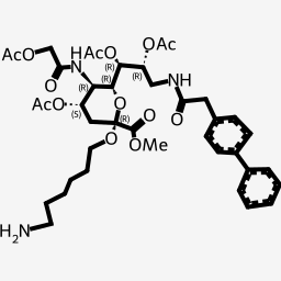 COC(=O)[C@@]1(OCCCCCCN)C[C@H](OC(C)=O)[C@@H](NC(=O)COC(C)=O)[C@H]([C@H](OC(C)=O)[C@@H](CNC(=O)Cc2ccc(-c3ccccc3)cc2)OC(C)=O)O1